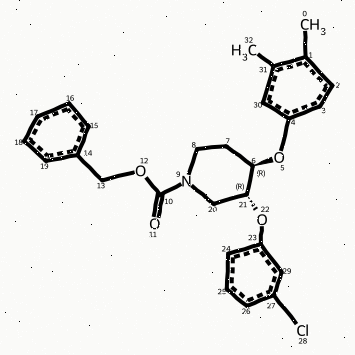 Cc1ccc(O[C@@H]2CCN(C(=O)OCc3ccccc3)C[C@H]2Oc2cccc(Cl)c2)cc1C